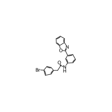 O=C(Cc1ccc(Br)cc1)Nc1cccc(-c2nc3ccccc3o2)c1